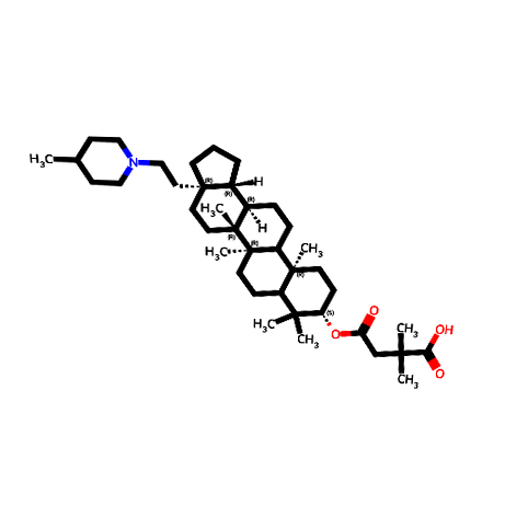 CC1CCN(CC[C@]23CCC[C@@H]2[C@H]2CCC4[C@@]5(C)CC[C@H](OC(=O)CC(C)(C)C(=O)O)C(C)(C)C5CC[C@@]4(C)[C@]2(C)CC3)CC1